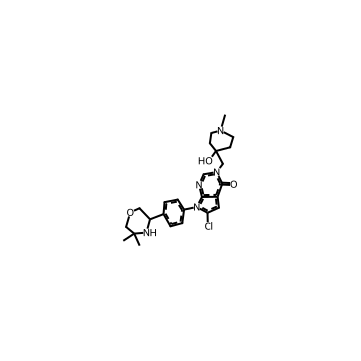 CN1CCC(O)(Cn2cnc3c(cc(Cl)n3-c3ccc(C4COCC(C)(C)N4)cc3)c2=O)CC1